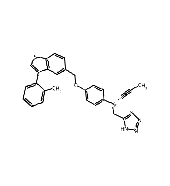 CC#C[C@H](Cc1nnn[nH]1)c1ccc(OCc2ccc3scc(-c4ccccc4C)c3c2)cc1